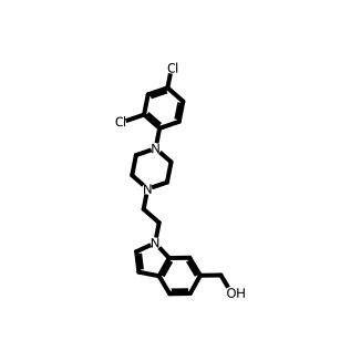 OCc1ccc2ccn(CCN3CCN(c4ccc(Cl)cc4Cl)CC3)c2c1